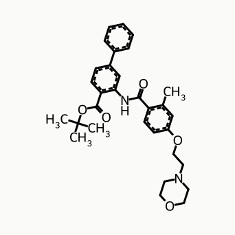 Cc1cc(OCCN2CCOCC2)ccc1C(=O)Nc1cc(-c2ccccc2)ccc1C(=O)OC(C)(C)C